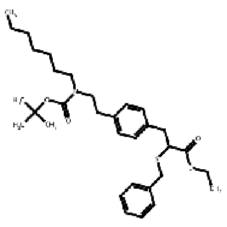 CCCCCCCN(CCc1ccc(CC(SCc2ccccc2)C(=O)OCC)cc1)C(=O)OC(C)(C)C